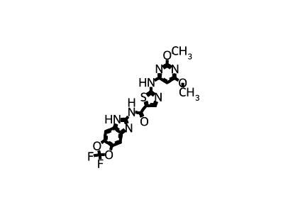 COc1cc(Nc2ncc(C(=O)Nc3nc4cc5c(cc4[nH]3)OC(F)(F)O5)s2)nc(OC)n1